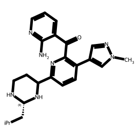 CC(C)C[C@@H]1NCCC(c2ccc(-c3cnn(C)c3)c(C(=O)c3cccnc3N)n2)N1